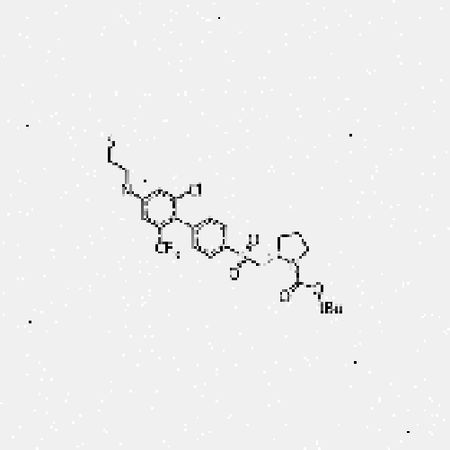 CC(C)(C)OC(=O)N1CCC[C@H]1CS(=O)(=O)c1ccc(-c2c(Cl)cc(N=CC=S)cc2C(F)(F)F)cc1